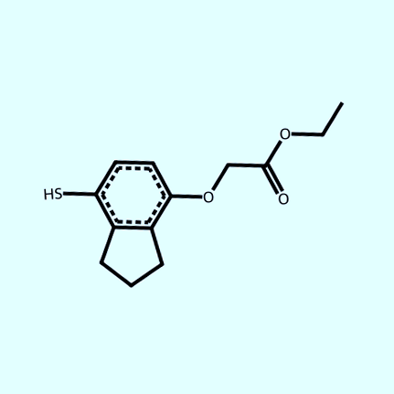 CCOC(=O)COc1ccc(S)c2c1CCC2